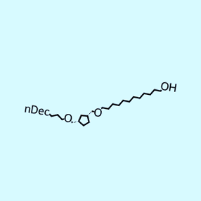 CCCCCCCCCCCCCOC[C@H]1CC[C@@H](COCCCCCCCCCCCCO)C1